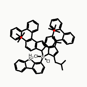 CC(C)CC1=Cc2c(ccc(C(C)(C)C)c2-c2ccccc2-c2ccccc2)[CH]1[Zr]([Cl])([Cl])([c]1cccc2c1[SiH2]c1ccccc1-2)[CH]1C(CC(C)C)=Cc2c1ccc(C(C)(C)C)c2-c1ccccc1-c1ccccc1